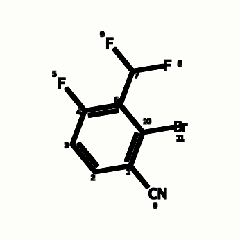 N#Cc1ccc(F)c(C(F)F)c1Br